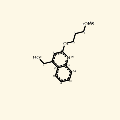 COCCCOc1cc(CO)c2ccccc2n1